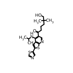 CC(C)Nc1c(C(=O)CCCC(C)(C)CO)cnc2sc(-c3cncs3)cc12